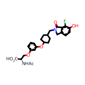 CC(=O)N[C@@H](COc1cccc(OC2CCC(CN3Cc4ccc(O)c(F)c4C3=O)CC2)c1)C(=O)O